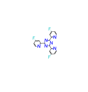 Fc1ccnc(-c2nc(-c3cc(F)ccn3)nc(-c3cc(F)ccn3)n2)c1